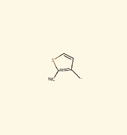 [CH2]c1ccsc1C#N